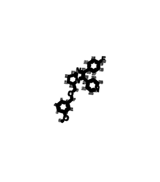 COc1cccc(COCC2CCc3nc(-c4ccc(F)cc4)c(-c4ccncc4)n32)c1